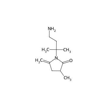 C=C1CC(C)C(=O)N1C(C)(C)CCN